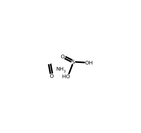 N.O=S(O)O.[C]=O